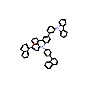 c1ccc(-c2cc(-c3cccc(-n4c5ccccc5c5ccccc54)c3)ccc2N(c2ccc(-c3cccc4ccccc34)cc2)c2ccc(-c3cccc4ccccc34)cc2)cc1